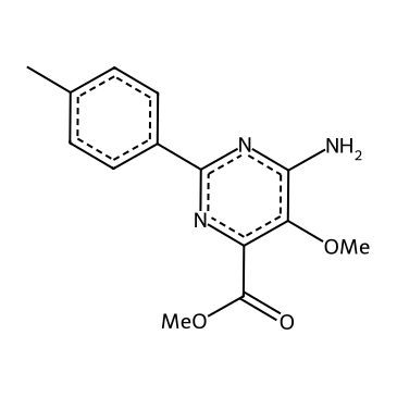 COC(=O)c1nc(-c2ccc(C)cc2)nc(N)c1OC